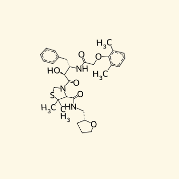 Cc1cccc(C)c1OCC(=O)N[C@@H](Cc1ccccc1)[C@H](O)C(=O)N1CSC(C)(C)C1C(=O)NC[C@H]1CCCO1